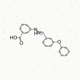 O=C(O)c1cccc(N/N=C/c2cccc(Oc3ccccc3)c2)c1